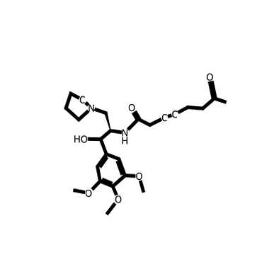 COc1cc(C(O)[C@@H](CN2CCCC2)NC(=O)CCCCCC(C)=O)cc(OC)c1OC